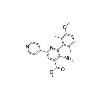 COC(=O)c1cc(-c2ccncc2)nc(-c2c(C)ccc(OC)c2C)c1N